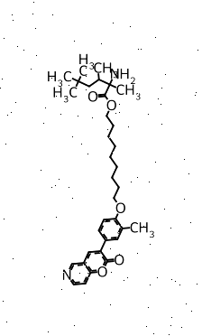 Cc1cc(-c2cc3cnccc3oc2=O)ccc1OCCCCCCCCCOC(=O)C(C)(N)C(C)CC(C)(C)C